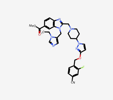 COC(=O)c1ccc2nc(CN3CCC(n4ccc(OCc5ccc(C#N)cc5F)n4)CC3)n(Cc3cncn3CC(F)(F)F)c2c1